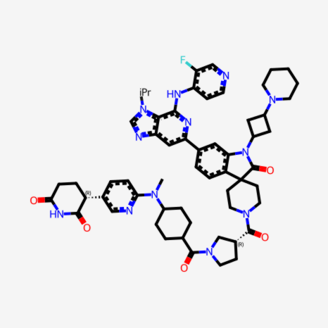 CC(C)n1cnc2cc(-c3ccc4c(c3)N(C3CC(N5CCCCC5)C3)C(=O)C43CCN(C(=O)[C@@H]4CCN(C(=O)C5CCC(N(C)c6ccc([C@H]7CCC(=O)NC7=O)cn6)CC5)C4)CC3)nc(Nc3ccncc3F)c21